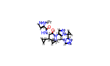 CC(C)n1nccc1C(=O)N[C@H](C(=O)Nc1cnn(C2(c3nncn3CC(F)(F)F)CC2)c1)C(C1CC1)C1CC1